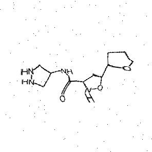 O=C(NC1CNNC1)C1CC(C2CCCO2)ON1